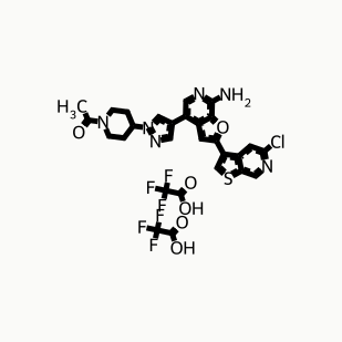 CC(=O)N1CCC(n2cc(-c3cnc(N)c4oc(-c5csc6cnc(Cl)cc56)cc34)cn2)CC1.O=C(O)C(F)(F)F.O=C(O)C(F)(F)F